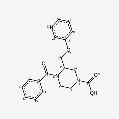 O=C(O)N1CCN(C(=O)c2ccccc2)C(COc2cccnc2)C1